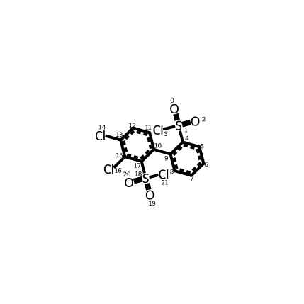 O=S(=O)(Cl)c1ccccc1-c1ccc(Cl)c(Cl)c1S(=O)(=O)Cl